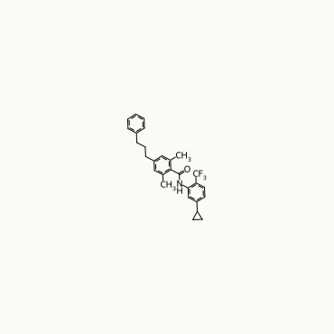 Cc1cc(CCCc2ccccc2)cc(C)c1C(=O)Nc1cc(C2CC2)ccc1C(F)(F)F